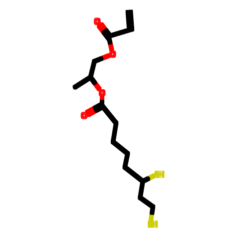 C=CC(=O)OCC(C)OC(=O)CCCCC(S)CCS